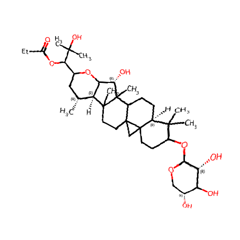 CCC(=O)OC(C1C[C@@H](C)[C@H]2C(O1)[C@H](O)C1(C)C3CC[C@H]4C(C)(C)C(OC5OC[C@@H](O)C(O)[C@H]5O)CCC45CC35CCC21C)C(C)(C)O